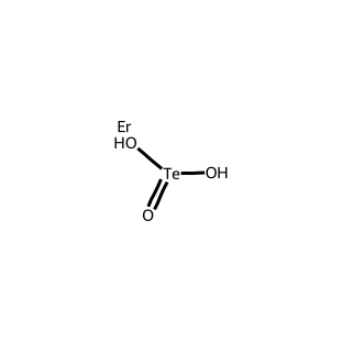 O=[Te](O)O.[Er]